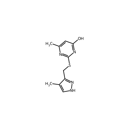 Cc1cc(O)nc(SCc2n[nH]cc2C)n1